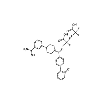 N=C(N)c1cccc(C2CCN(C(=O)c3ccc(-c4cccc[n+]4[O-])cc3)CC2)c1.O=C(O)C(F)(F)F.O=C(O)C(F)(F)F